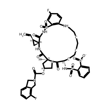 C=C[C@@H]1C[C@@]12NC(=O)[C@@H]1C[C@@H](OC(=O)N3Cc4cccc(F)c4C3)CN1C(=O)[C@@H](NS(=O)(=O)c1ccccc1[N+](=O)[O-])CCCCCCCNc1ccc(F)cc1S(=O)(=O)NC2=O